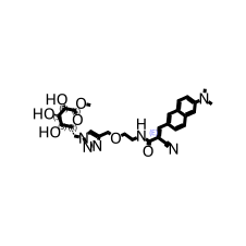 CO[C@H]1O[C@H](Cn2cc(COCCNC(=O)/C(C#N)=C/c3ccc4cc(N(C)C)ccc4c3)nn2)[C@@H](O)[C@H](O)[C@H]1O